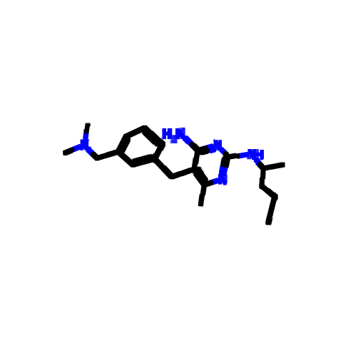 CCCC(C)Nc1nc(C)c(Cc2cccc(CN(C)C)c2)c(N)n1